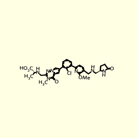 COc1nc(-c2cccc(-c3cc4c(=O)n(C)c(CN[C@H](C)C(=O)O)nn4c3)c2Cl)ccc1CNC[C@H]1CCC(=O)N1